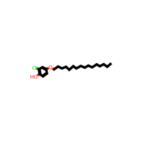 CCCCCCCCCCCCCCCCOc1ccc(O)c(Cl)c1